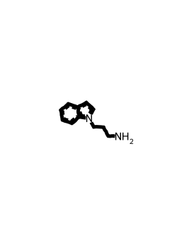 NCCCn1ccc2ccccc21